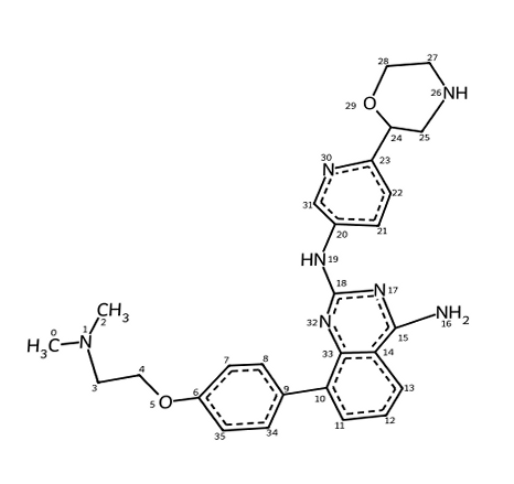 CN(C)CCOc1ccc(-c2cccc3c(N)nc(Nc4ccc(C5CNCCO5)nc4)nc23)cc1